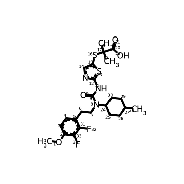 COc1ccc(CCN(C(=O)Nc2ncc(SC(C)(C)C(=O)O)s2)C2CCC(C)CC2)c(F)c1F